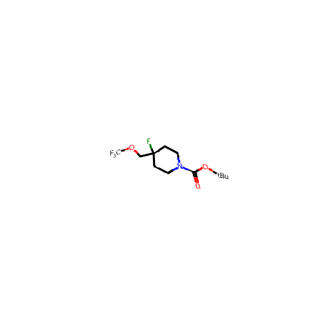 CC(C)(C)OC(=O)N1CCC(F)(COC(F)(F)F)CC1